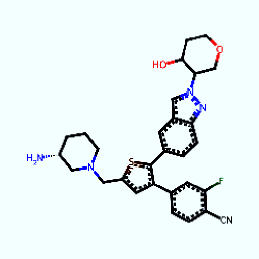 N#Cc1ccc(-c2cc(CN3CCC[C@@H](N)C3)sc2-c2ccc3nn(C4COCCC4O)cc3c2)cc1F